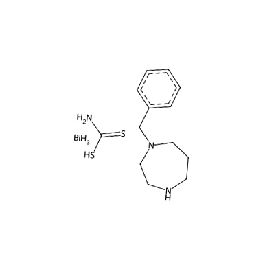 NC(=S)S.[BiH3].c1ccc(CN2CCCNCC2)cc1